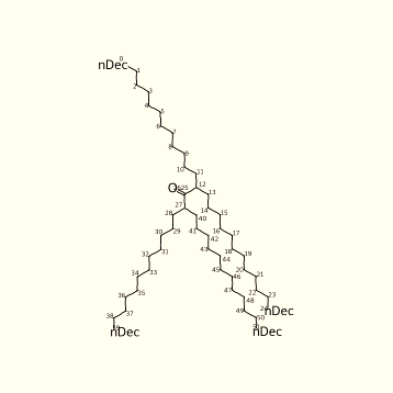 CCCCCCCCCCCCCCCCCCCCCC(CCCCCCCCCCCCCCCCCCCCC)C(=O)C(CCCCCCCCCCCCCCCCCCCCC)CCCCCCCCCCCCCCCCCCCCC